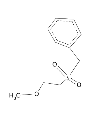 COCCS(=O)(=O)Cc1ccccc1